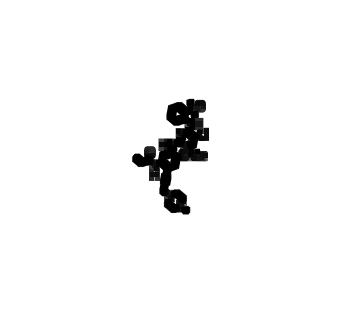 C=CC(=O)Nc1cc(Nc2ncc(Cl)c(Nc3ccccc3P(C)(C)=O)n2)c(OC)cc1C#CCN1CCN(C)CC1